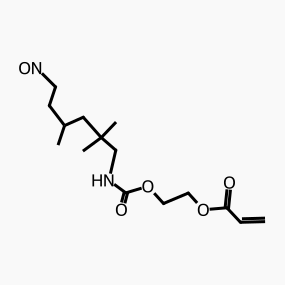 C=CC(=O)OCCOC(=O)NCC(C)(C)CC(C)CCN=O